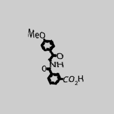 COc1ccc(C(=O)CNC(=O)c2cccc(C(=O)O)c2)cc1